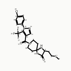 CSCCC1NC2(CCN(C(=O)c3cnn(-c4ccc(Cl)cc4)c3C(F)(F)F)CC2)[N]C1=O